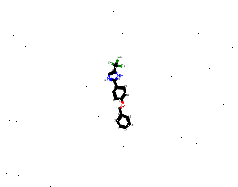 FC(F)(F)c1cnc(-c2ccc(OCc3ccccc3)cc2)[nH]1